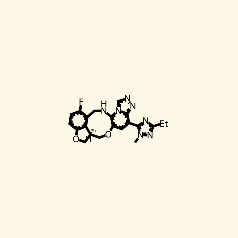 CCc1nc(-c2cc3c(n4cnnc24)NCc2c(F)ccc4c2[C@@H](CO4)CO3)n(C)n1